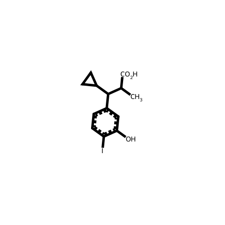 CC(C(=O)O)C(c1ccc(I)c(O)c1)C1CC1